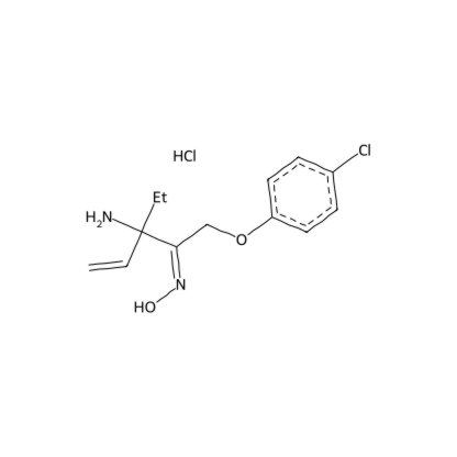 C=CC(N)(CC)C(COc1ccc(Cl)cc1)=NO.Cl